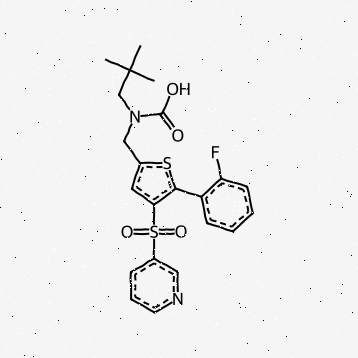 CC(C)(C)CN(Cc1cc(S(=O)(=O)c2cccnc2)c(-c2ccccc2F)s1)C(=O)O